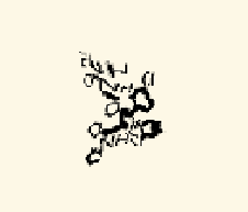 CCNC(=O)NCCOc1c(C(=O)NN2CCCC2)nn(-c2ccccc2Cl)c1-c1ccc(Cl)cc1